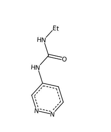 CCNC(=O)Nc1ccnnc1